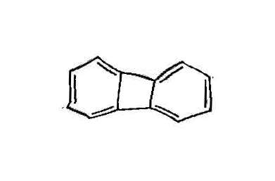 [c]1ccc2c(c1)-c1cc[c]cc1-2